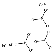 [Al+3].[Ga+3].[In+3].[O-]P([O-])[O-].[O-]P([O-])[O-].[O-]P([O-])[O-]